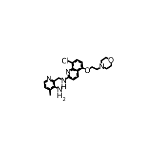 Cc1ccnc(CNc2ccc3c(OCCN4CCOCC4)ccc(Cl)c3n2)c1N